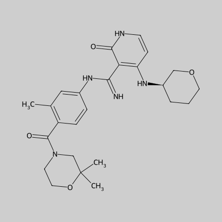 Cc1cc(NC(=N)c2c(N[C@@H]3CCCOC3)cc[nH]c2=O)ccc1C(=O)N1CCOC(C)(C)C1